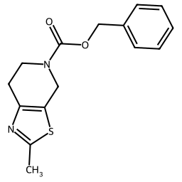 Cc1nc2c(s1)CN(C(=O)OCc1ccccc1)CC2